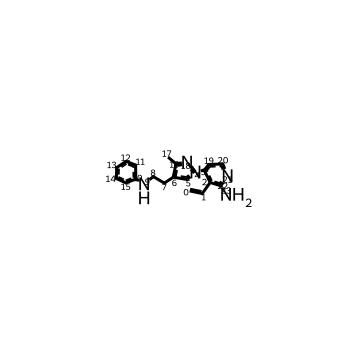 C=Cc1c(-n2cc(CCNc3ccccc3)c(C)n2)ccnc1N